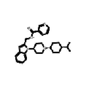 CC(C)[C@H]1CC[C@@H](N2CCC(n3c(CNC(=O)c4cccnc4)cc4ccccc43)CC2)CC1